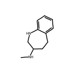 CNC1CCc2ccccc2NC1